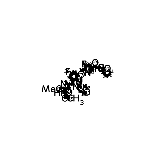 COc1ncc(-c2nc(N3CCOCC3)nc3c(OCc4ncc(C(=O)NOC5CCCCO5)cc4F)cc(F)cc23)cc1NS(C)(=O)=O